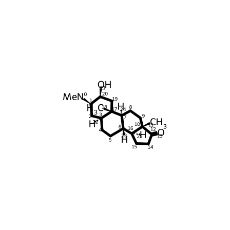 CN[C@@H]1C[C@@H]2CC[C@@H]3[C@H](CC[C@]4(C)C(=O)CC[C@@H]34)[C@@]2(C)C[C@@H]1O